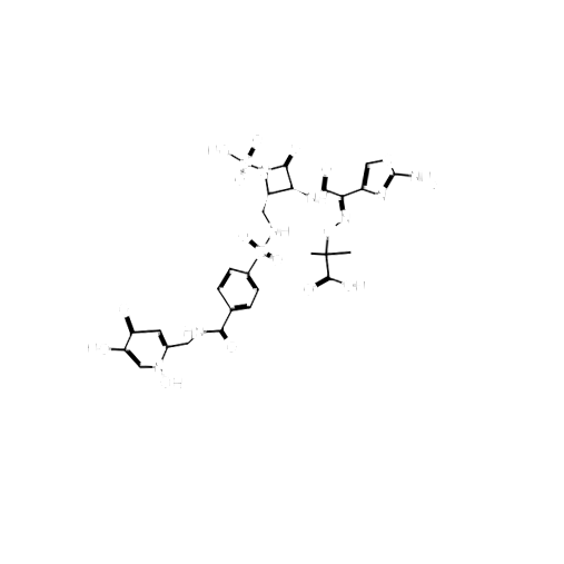 CC(C)(ON=C(C(=O)N[C@@H]1C(=O)N(S(=O)(=O)O)[C@@H]1CNS(=O)(=O)c1ccc(C(=O)NCc2cc(=O)c(O)cn2O)cc1)c1csc(N)n1)C(=O)O